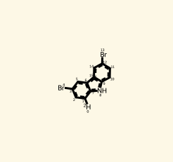 [2H]c1cc(Br)cc2c1[nH]c1ccc(Br)cc12